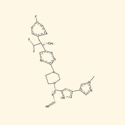 Cn1cc(-c2c[nH]c(/C(=N\C=N)N3CCN(c4ncc([C@](O)(c5ccc(F)cc5)C(F)F)cn4)CC3)c2)cn1